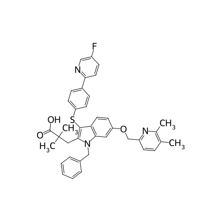 Cc1ccc(COc2ccc3c(Sc4ccc(-c5ccc(F)cn5)cc4)c(CC(C)(C)C(=O)O)n(Cc4ccccc4)c3c2)nc1C